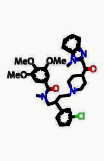 COc1cc(C(=O)N(C)CC(CCN2CCC(C(=O)c3nc4ccccc4n3C)CC2)c2cccc(Cl)c2)cc(OC)c1OC